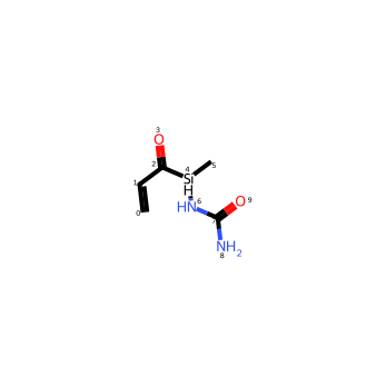 C=CC(=O)[SiH](C)NC(N)=O